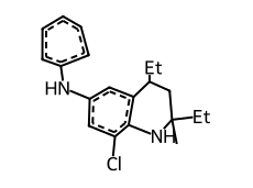 CCC1CC(C)(CC)Nc2c(Cl)cc(Nc3ccccc3)cc21